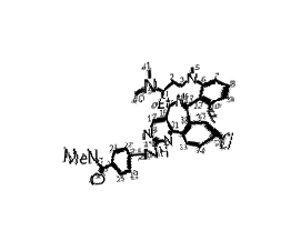 CCC(CCN(C)c1cccc(F)c1C1=NCc2cnc(Nc3ccc(C(=O)NC)cc3)nc2-c2ccc(Cl)cc21)N(C)C